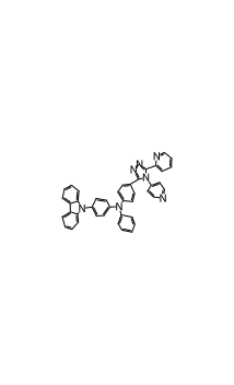 c1ccc(N(c2ccc(-c3nnc(-c4ccccn4)n3-c3ccncc3)cc2)c2ccc(-n3c4ccccc4c4ccccc43)cc2)cc1